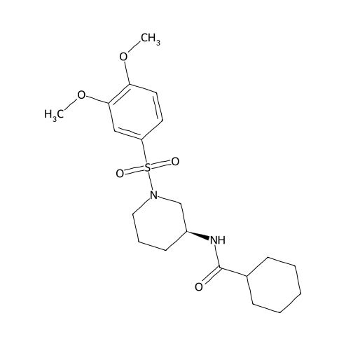 COc1ccc(S(=O)(=O)N2CCC[C@H](NC(=O)C3CCCCC3)C2)cc1OC